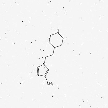 Cc1cn(CCC2CCNCC2)cn1